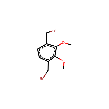 COc1c(CBr)ccc(CBr)c1OC